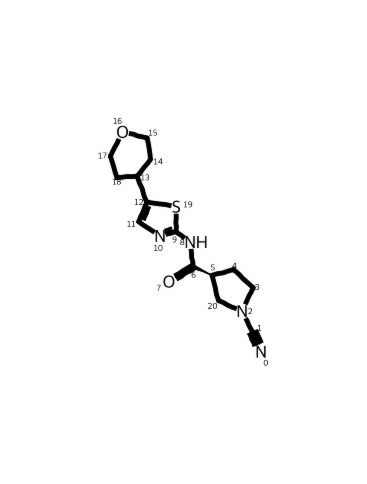 N#CN1CC[C@H](C(=O)Nc2ncc(C3CCOCC3)s2)C1